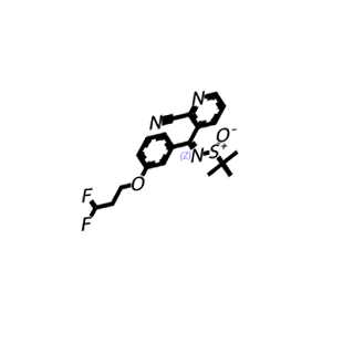 CC(C)(C)[S+]([O-])/N=C(/c1cccc(OCCC(F)F)c1)c1cccnc1C#N